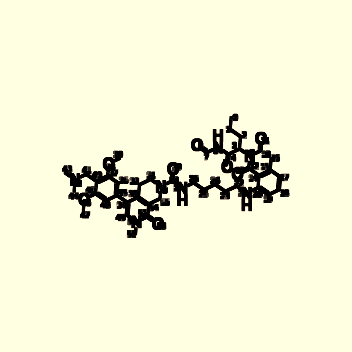 CCCC(C(=O)NC=O)N(C=O)C(=O)c1c(C)cccc1NCCCCCNC(=O)N1CCc2c(-c3cc(OC)c(CN(C)C)c(OC)c3)cn(C)c(=O)c2C1